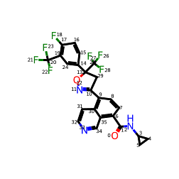 O=C(NC1CC1)c1ccc(C2=NOC(c3ccc(F)c(C(F)(F)F)c3)(C(F)(F)F)C2)c2ccncc12